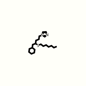 CCCCCCCSC(CCCn1ccnc1)CC1CCCCC1